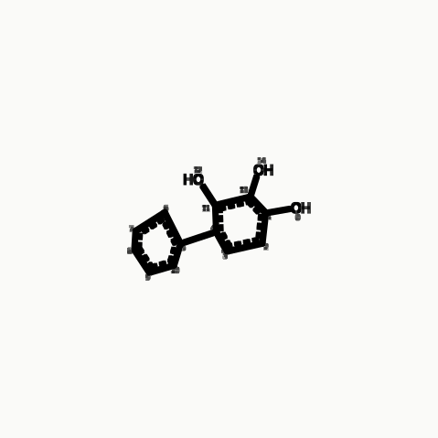 Oc1c[c]c(-c2ccccc2)c(O)c1O